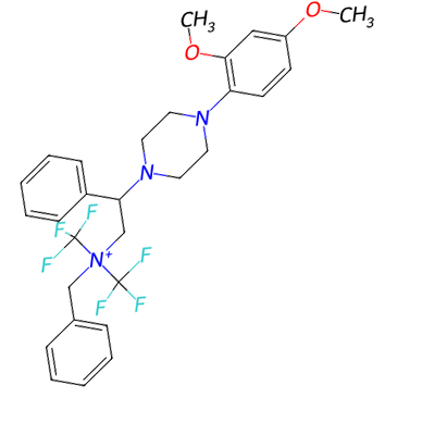 COc1ccc(N2CCN(C(C[N+](Cc3ccccc3)(C(F)(F)F)C(F)(F)F)c3ccccc3)CC2)c(OC)c1